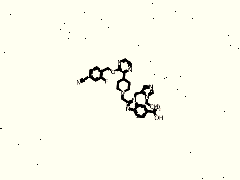 CCn1cncc1Cn1c(CN2CCC(c3nccnc3OCc3ccc(C#N)cc3F)CC2)nc2ccc(C(=O)O)cc21